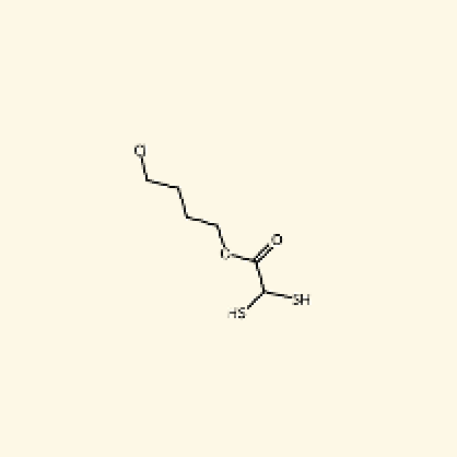 O=C(OCCCCCl)C(S)S